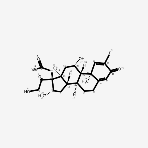 CCCCC(=O)O[C@]1(C(=O)CO)[C@@H](C)C[C@H]2[C@@H]3CCC4=CC(=O)C(F)=C[C@]4(C)[C@H]3[C@@H](O)C[C@@]21C